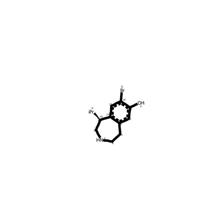 CC(C)[C@@H]1CNCCc2cc(O)c(Br)cc21